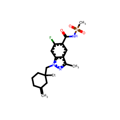 C=C1CCCC(CC)(Cn2nc(C)c3cc(C(=O)NS(C)(=O)=O)c(F)cc32)C1